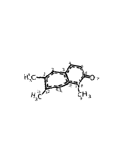 Cc1cc2ccc(=O)n(C)c2cc1C